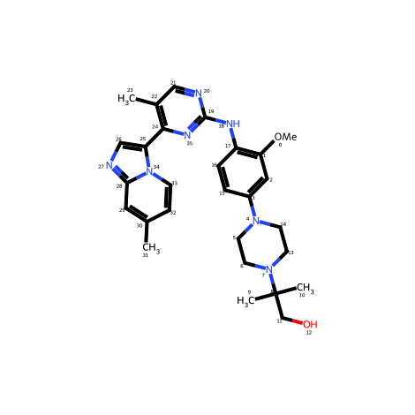 COc1cc(N2CCN(C(C)(C)CO)CC2)ccc1Nc1ncc(C)c(-c2cnc3cc(C)ccn23)n1